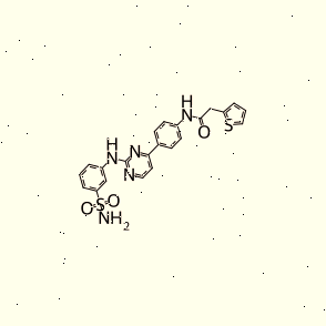 NS(=O)(=O)c1cccc(Nc2nccc(-c3ccc(NC(=O)Cc4cccs4)cc3)n2)c1